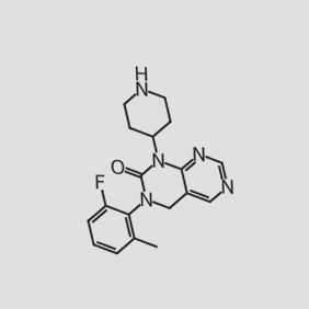 Cc1cccc(F)c1N1Cc2cncnc2N(C2CCNCC2)C1=O